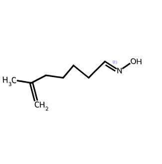 C=C(C)CCCC/C=N/O